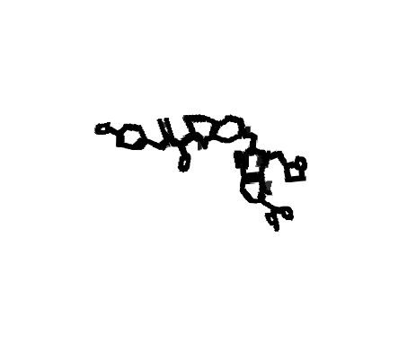 COC(=O)c1ccc2nc(CN3CCc4ccc(C(=O)NCc5ccc(Cl)cc5)nc4C3)n(C[C@@H]3CCO3)c2n1